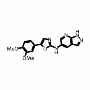 COc1ccc(-c2cnc(Nc3cnc4[nH]ncc4c3)o2)cc1OC